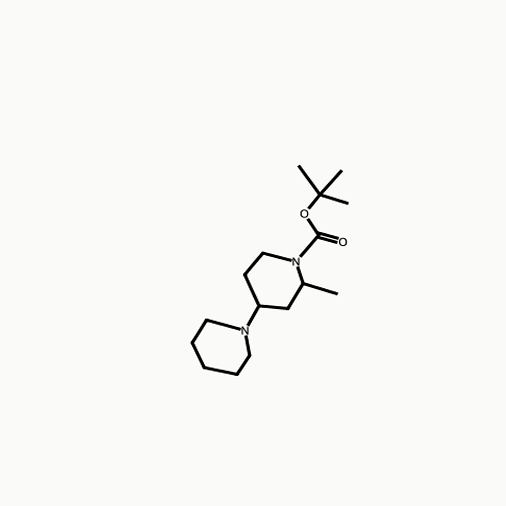 CC1CC(N2CCCCC2)CCN1C(=O)OC(C)(C)C